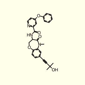 CN1C(=O)C(NC(=O)c2cc(Oc3ccccc3)ccn2)COc2ccc(C#CC(C)(C)O)cc21